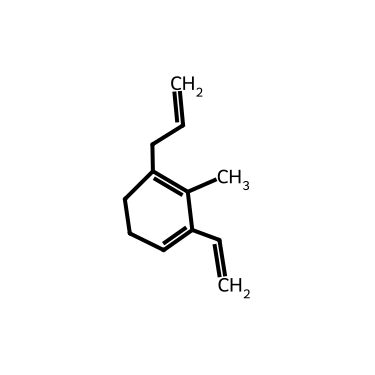 C=CCC1=C(C)C(C=C)=CCC1